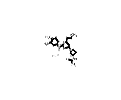 CCCc1cc(N2CC[C@H](NC(C)=O)C2)nc(Nc2ccc(C)c(N)c2)n1.Cl